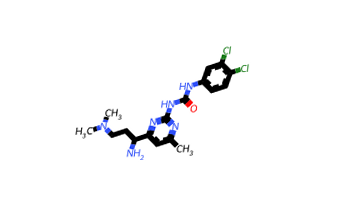 Cc1cc(C(N)CCN(C)C)nc(NC(=O)Nc2ccc(Cl)c(Cl)c2)n1